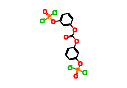 O=C(Oc1cccc(OP(=O)(Cl)Cl)c1)Oc1cccc(OP(=O)(Cl)Cl)c1